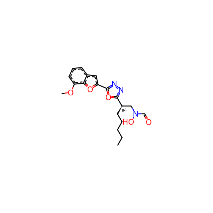 CCCCC[C@H](CN(O)C=O)c1nnc(-c2cc3cccc(OC)c3o2)o1